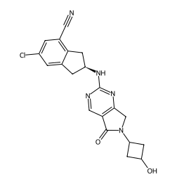 N#Cc1cc(Cl)cc2c1C[C@@H](Nc1ncc3c(n1)CN(C1CC(O)C1)C3=O)C2